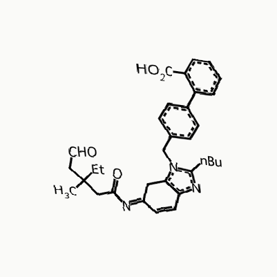 CCCCc1nc2c(n1Cc1ccc(-c3ccccc3C(=O)O)cc1)CC(=NC(=O)CC(C)(CC)CC=O)C=C2